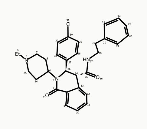 CCN1CCC(N2C(=O)c3ccccc3[C@@H](C(=O)NCCc3ccccc3)[C@@H]2c2ccc(Cl)cc2)CC1